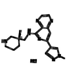 Cl.Cn1cc(-c2cc3nccnc3c(NC[C@]3(F)CCCNC3)n2)cn1